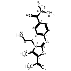 CC(=O)c1sc(=Nc2ccc(C(=O)N(C)C)cc2)n(CCO)c1C